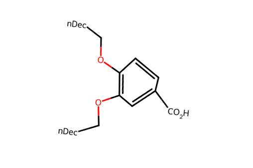 CCCCCCCCCCCOc1ccc(C(=O)O)cc1OCCCCCCCCCCC